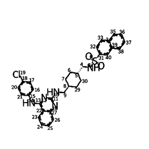 O=S(=O)(NC[C@H]1CC[C@H](CNc2nc(Nc3ccc(Cl)cc3)c3ccccc3n2)CC1)c1ccc2ccccc2c1